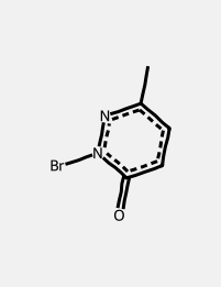 Cc1ccc(=O)n(Br)n1